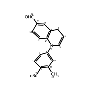 CCCCc1ccc(N2C=CCc3cc(C=O)ccc32)cc1C